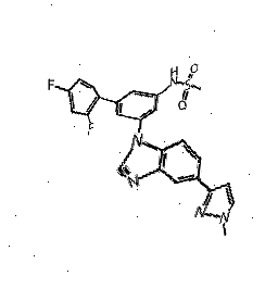 Cn1ccc(-c2ccc3c(c2)ncn3-c2cc(NS(C)(=O)=O)cc(-c3ccc(F)cc3F)c2)n1